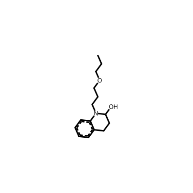 CCCOCCCN1c2ccccc2CCC1O